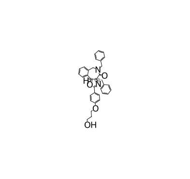 O=C1N(Cc2ccccc2)Cc2ccccc2[C@@H]2OC(c3ccc(OCCCO)cc3)=N[C@]12Cc1ccccc1